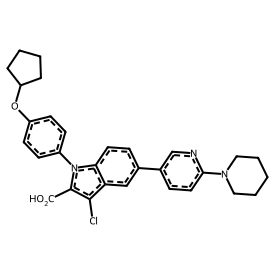 O=C(O)c1c(Cl)c2cc(-c3ccc(N4CCCCC4)nc3)ccc2n1-c1ccc(OC2CCCC2)cc1